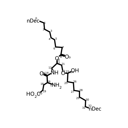 CCCCCCCCCCCCCCCCCC(=O)OC(CNC(=O)C(N)CCC(=O)O)COC(O)CCCCCCCCCCCCCCCCC